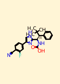 CC(C)(C)[C@@H](c1ccccc1)C(NC(=O)O)c1nc(-c2ccc(C#N)c(F)c2)c[nH]1